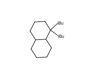 CCC(C)C1(C(C)CC)CCCC2CCCCC21